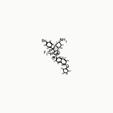 NC1CCN(C(=O)[C@H](N(CC(F)(F)F)S(=O)(=O)c2ccc3cc(OC4CCCC4)ccc3c2)C(F)(F)c2ccc(Br)cc2)CC1